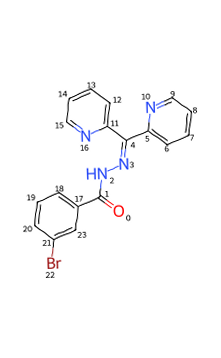 O=C(NN=C(c1ccccn1)c1ccccn1)c1cccc(Br)c1